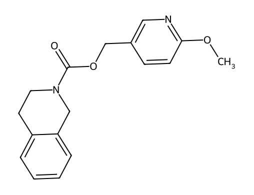 COc1ccc(COC(=O)N2CCc3ccccc3C2)cn1